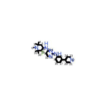 CN1C(C)(C)CC(Nc2ccnc(Nc3cccc(-c4ccncc4)c3)n2)C(F)C1(C)C